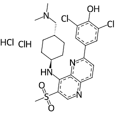 CN(C)C[C@H]1CC[C@H](Nc2c(S(C)(=O)=O)cnc3ccc(-c4cc(Cl)c(O)c(Cl)c4)nc23)CC1.Cl.Cl